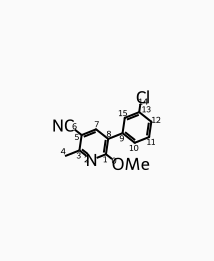 COc1nc(C)c(C#N)cc1-c1cccc(Cl)c1